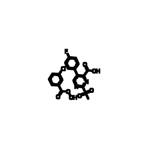 CS(=O)(=O)c1ncc(-c2ccc(F)cc2)c(C(=O)O)n1.O=C(OO)c1cccc(Cl)c1